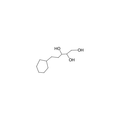 OCC(O)C(O)CCC1CCCCC1